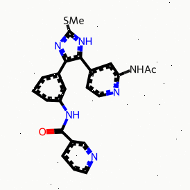 CSc1nc(-c2cccc(NC(=O)c3cccnc3)c2)c(-c2ccnc(NC(C)=O)c2)[nH]1